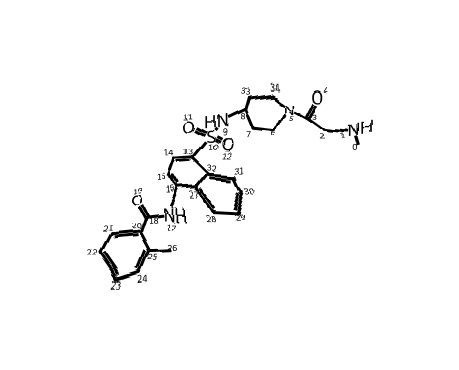 CNCC(=O)N1CCC(NS(=O)(=O)c2ccc(NC(=O)c3ccccc3C)c3ccccc23)CC1